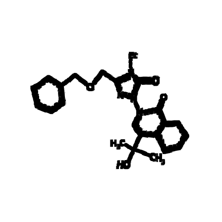 CCn1c(COCc2ccccc2)nn(-n2cc(C(C)(C)O)c3ccccc3c2=O)c1=O